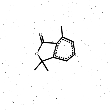 Cc1cccc2c1C(=O)OC2(C)C